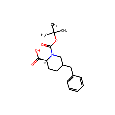 CC(C)(C)OC(=O)N1CC(Cc2ccccc2)CC[C@H]1C(=O)O